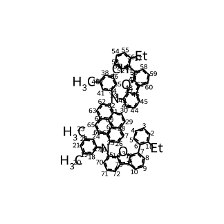 CCc1ccccc1-c1cccc2c1oc1c(N(c3cc(C)cc(C)c3)c3ccc4ccc5c(N(c6cc(C)cc(C)c6)c6cccc7c6oc6c(-c8ccccc8CC)cccc67)ccc6ccc3c4c65)cccc12